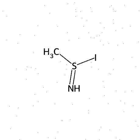 CS(=N)I